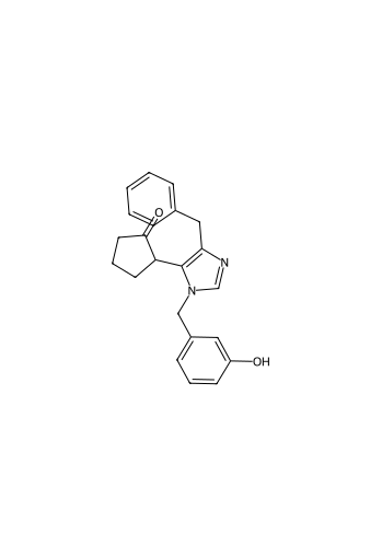 O=C1CCCC1c1c(Cc2ccccc2)ncn1Cc1cccc(O)c1